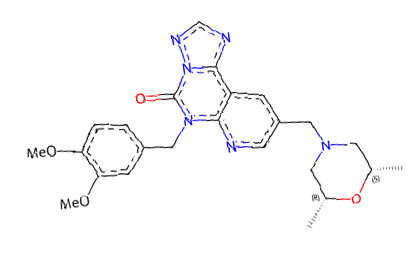 COc1ccc(Cn2c(=O)n3ncnc3c3cc(CN4C[C@@H](C)O[C@@H](C)C4)cnc32)cc1OC